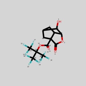 O=C1OC2C(O)C3CC2C1(C(=O)OC(C(F)(F)F)(C(F)(F)F)C(F)(F)F)C3